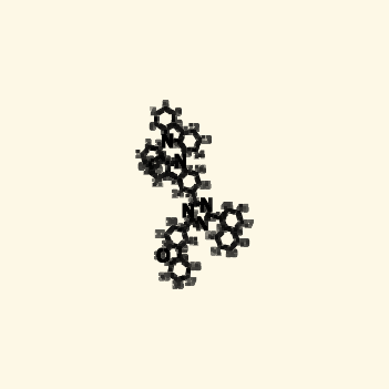 c1ccc(-n2c3ccccc3c3cccc(-n4c5ccccc5c5cc(-c6nc(-c7ccc8oc9ccccc9c8c7)nc(-c7cccc8ccccc78)n6)ccc54)c32)cc1